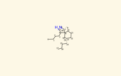 CCCCC(C)C1([C@@H](C)N)CCC[C@H](CCCC)C1